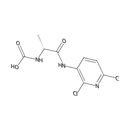 C[C@@H](NC(=O)O)C(=O)Nc1ccc(Cl)nc1Cl